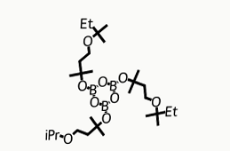 CCC(C)(C)OCCC(C)(C)OB1OB(OC(C)(C)CCOC(C)C)OB(OC(C)(C)CCOC(C)(C)CC)O1